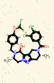 C[C@@H]1Cc2nn3c(c2CN1C(=O)c1ccc(Cl)c(Cl)c1)C(O)N(Cc1ccc(OC(F)F)cc1)[C@@H](C)C3